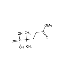 COC(=O)CCC(C)(C)P(=O)(O)O